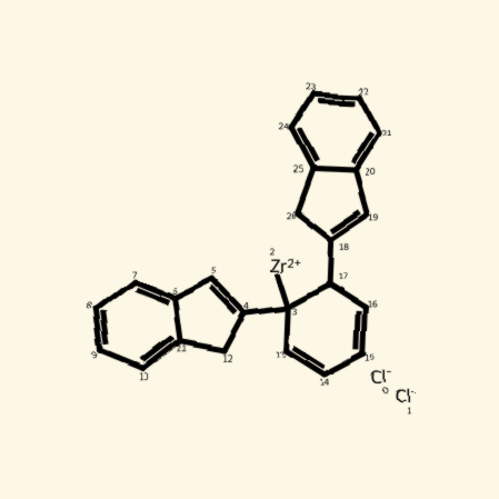 [Cl-].[Cl-].[Zr+2][C]1(C2=Cc3ccccc3C2)C=CC=CC1C1=Cc2ccccc2C1